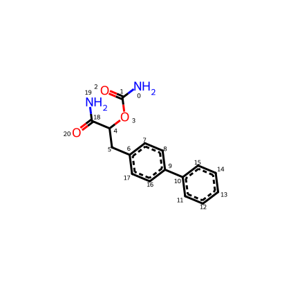 NC(=O)OC(Cc1ccc(-c2ccccc2)cc1)C(N)=O